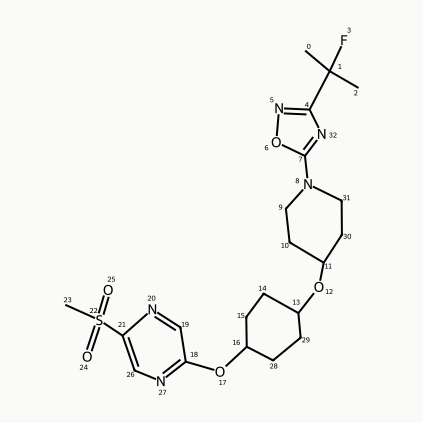 CC(C)(F)c1noc(N2CCC(OC3CCC(Oc4cnc(S(C)(=O)=O)cn4)CC3)CC2)n1